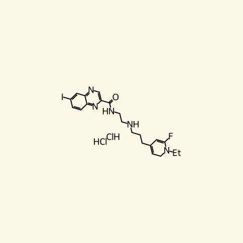 CCN1CC=C(CCCNCCNC(=O)c2cnc3cc(I)ccc3n2)C=C1F.Cl.Cl